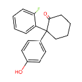 O=C1CCCCC1(c1ccc(O)cc1)c1ccccc1F